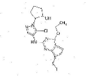 CCOc1nc(Nc2cnn(C3CCCC3O)c2Cl)nc2c1ccn2SI